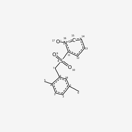 Cc1ccc(C)c(CS(=O)(=O)c2cccc[n+]2[O-])c1